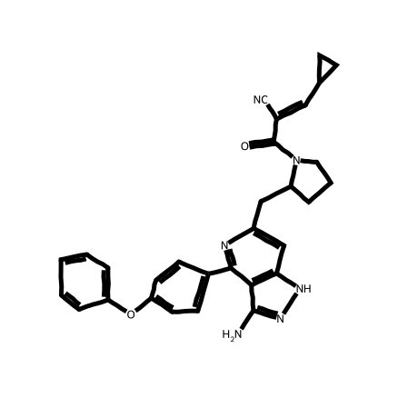 N#CC(=CC1CC1)C(=O)N1CCCC1Cc1cc2[nH]nc(N)c2c(-c2ccc(Oc3ccccc3)cc2)n1